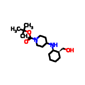 CC(C)(C)OC(=O)N1CCC(N[C@@H]2CCCC[C@H]2CO)CC1